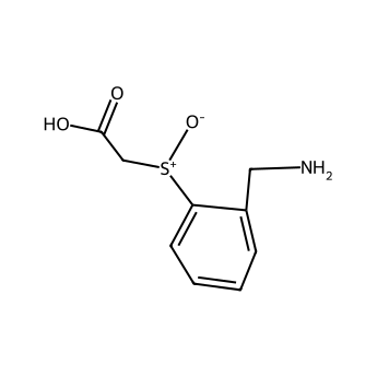 NCc1ccccc1[S+]([O-])CC(=O)O